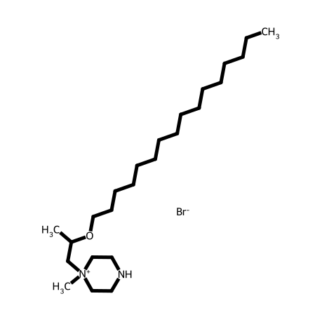 CCCCCCCCCCCCCCCCOC(C)C[N+]1(C)CCNCC1.[Br-]